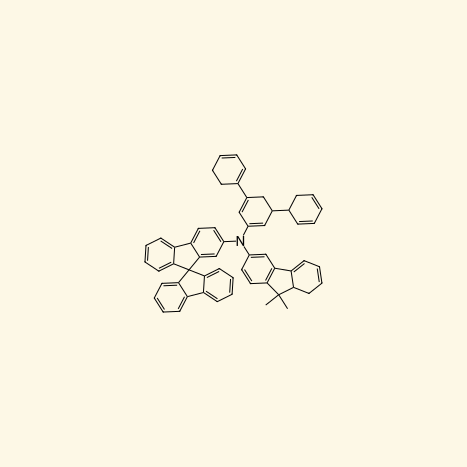 CC1(C)c2ccc(N(C3=CC(C4C=CC=CC4)CC(C4=CC=CCC4)=C3)c3ccc4c(c3)C3(c5ccccc5-c5ccccc53)c3ccccc3-4)cc2C2=CC=CCC21